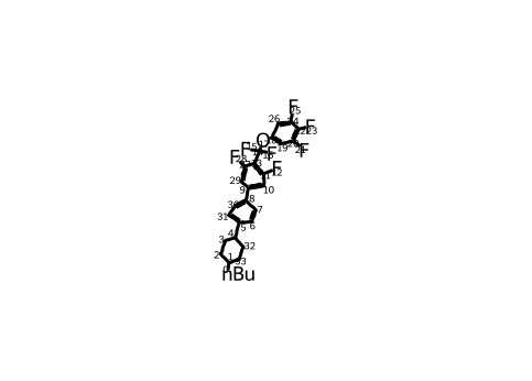 CCCCC1CCC(c2ccc(-c3cc(F)c(C(F)(F)Oc4cc(F)c(F)c(F)c4)c(F)c3)cc2)CC1